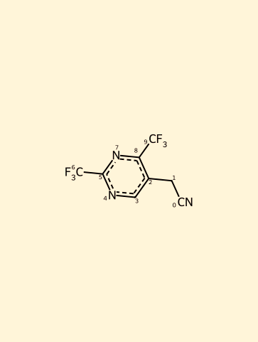 N#CCc1cnc(C(F)(F)F)nc1C(F)(F)F